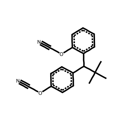 CC(C)(C)C(c1ccc(OC#N)cc1)c1ccccc1OC#N